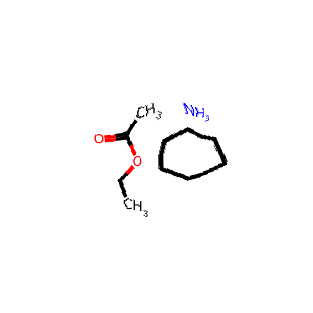 C1CCCCC1.CCOC(C)=O.N